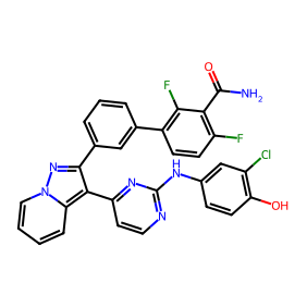 NC(=O)c1c(F)ccc(-c2cccc(-c3nn4ccccc4c3-c3ccnc(Nc4ccc(O)c(Cl)c4)n3)c2)c1F